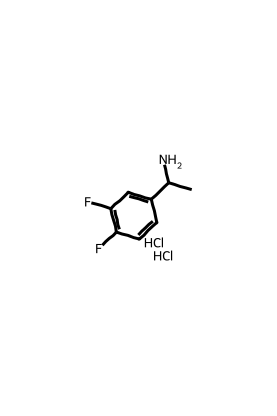 CC(N)c1ccc(F)c(F)c1.Cl.Cl